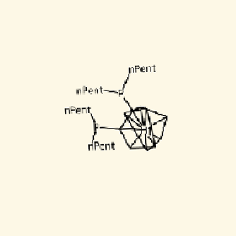 CCCCCP(CCCCC)[C]12[CH]3[CH]4[CH]5[C]1(P(CCCCC)CCCCC)[Hf]43521678[CH]2[CH]1[CH]6[CH]7[CH]28